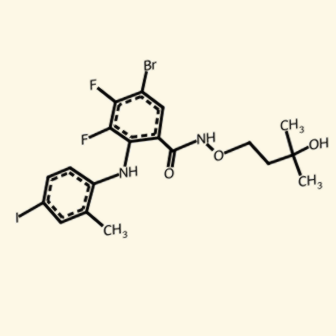 Cc1cc(I)ccc1Nc1c(C(=O)NOCCC(C)(C)O)cc(Br)c(F)c1F